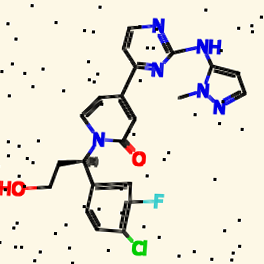 Cn1nccc1Nc1nccc(-c2ccn([C@H](CCO)c3ccc(Cl)c(F)c3)c(=O)c2)n1